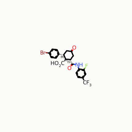 O=C1C[C@H](C(=O)Nc2ccc(C(F)(F)F)cc2F)[C@H](C(=O)O)[C@H](c2ccc(Br)cc2)C1